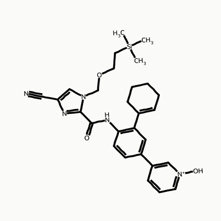 C[Si](C)(C)CCOCn1cc(C#N)nc1C(=O)Nc1ccc(-c2ccc[n+](O)c2)cc1C1=CCCCC1